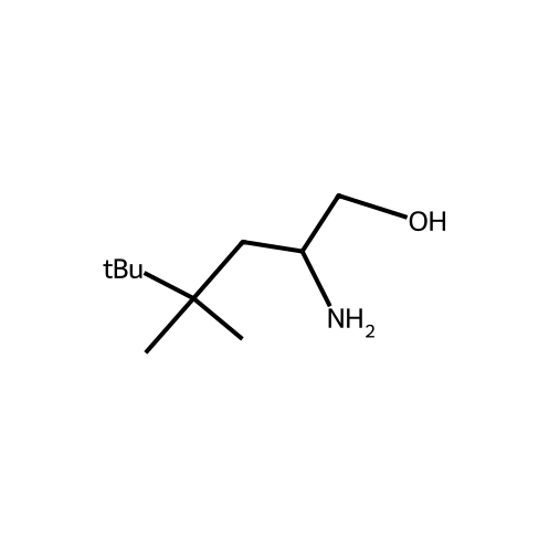 CC(C)(C)C(C)(C)CC(N)CO